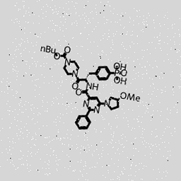 CCCCOC(=O)N1CCN(C(=O)[C@H](Cc2ccc(P(=O)(O)O)cc2)NC(=O)c2cc(N3CC[C@H](OC)C3)nc(-c3ccccc3)n2)CC1